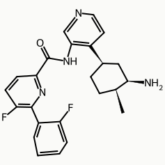 C[C@H]1CC[C@@H](c2ccncc2NC(=O)c2ccc(F)c(-c3ccccc3F)n2)C[C@H]1N